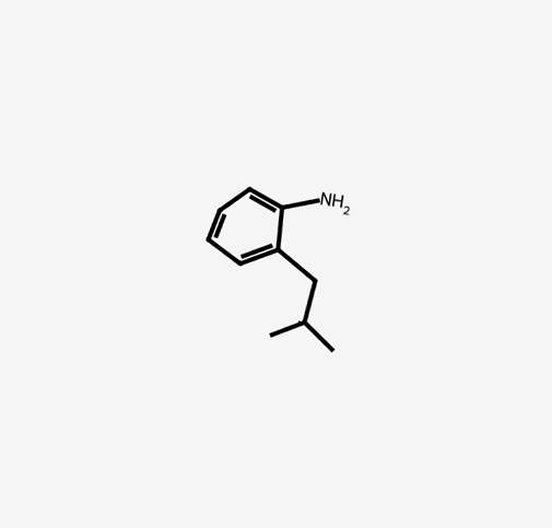 C[C](C)Cc1ccccc1N